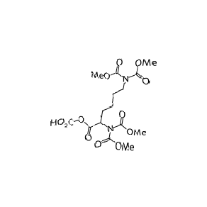 COC(=O)N(CCCCC(C(=O)OC(=O)O)N(C(=O)OC)C(=O)OC)C(=O)OC